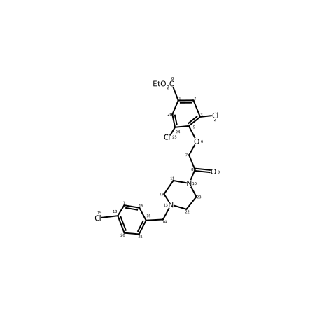 CCOC(=O)c1cc(Cl)c(OCC(=O)N2CCN(Cc3ccc(Cl)cc3)CC2)c(Cl)c1